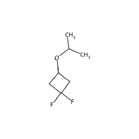 CC(C)OC1CC(F)(F)C1